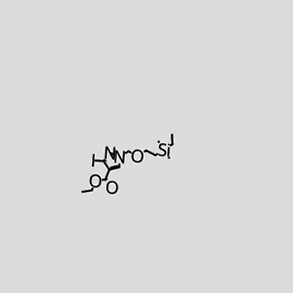 CCOC(=O)c1cn(COCC[Si](C)(C)CC)nc1I